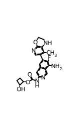 Cc1c(-c2cc3cc(NC(=O)O[C@@H]4CC[C@H]4O)ncc3c(N)c2F)cnc2c1NCCO2